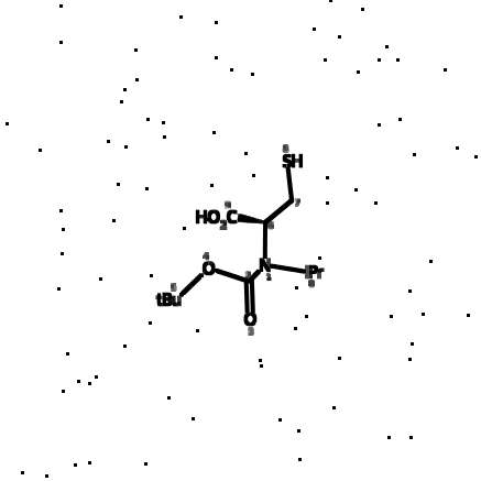 CC(C)N(C(=O)OC(C)(C)C)[C@H](CS)C(=O)O